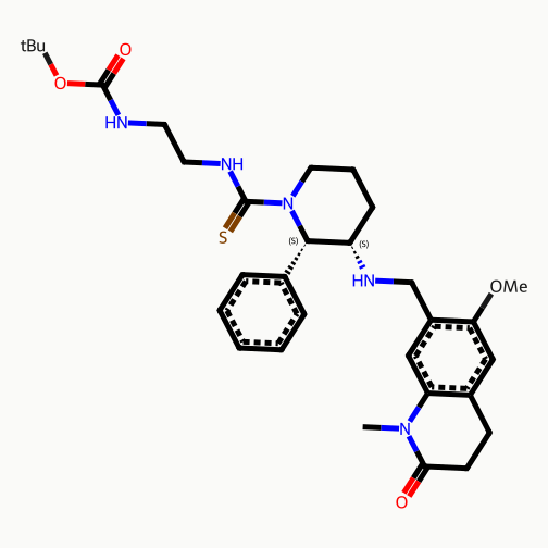 COc1cc2c(cc1CN[C@H]1CCCN(C(=S)NCCNC(=O)OC(C)(C)C)[C@H]1c1ccccc1)N(C)C(=O)CC2